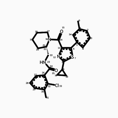 Cc1cccc(-c2sc(C3CC3)nc2C(=O)N2CCCC[C@H]2CNC(=O)c2cccc(C)c2Cl)c1